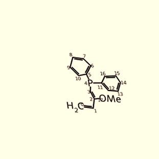 C=C/C(=C/P(c1ccccc1)c1ccccc1)OC